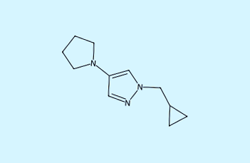 c1nn(CC2CC2)cc1N1CCCC1